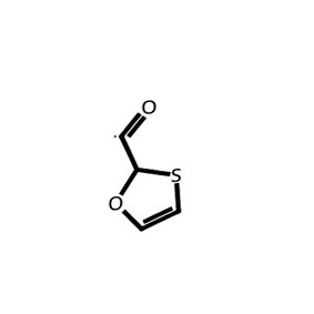 O=[C]C1OC=CS1